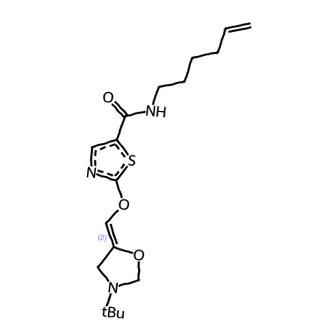 C=CCCCCNC(=O)c1cnc(O/C=C2/CN(C(C)(C)C)CO2)s1